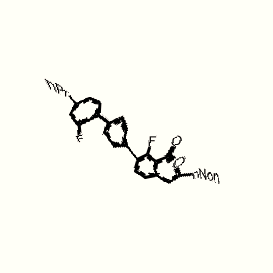 CCCCCCCCCc1cc2ccc(-c3ccc(-c4ccc(CCC)cc4F)cc3)c(F)c2c(=O)o1